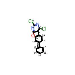 Clc1nc(Cl)c2c(n1)oc1cc(-c3ccccc3)ccc12